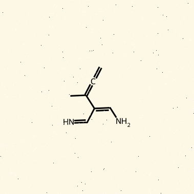 C=C=C(C)/C(C=N)=C/N